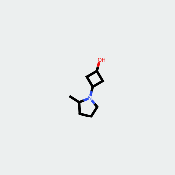 CC1CCCN1C1CC(O)C1